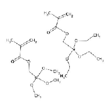 C=C(C)C(=O)OC[Si](OC)(OC)OC.C=C(C)C(=O)OC[Si](OCC)(OCC)OCC